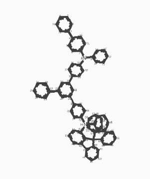 c1ccc(-c2ccc(N(c3ccccc3)c3ccc(-c4cc(-c5ccccc5)cc(-c5ccc(N(c6ccccc6)c6cccc7c6C(c6ccccc6)(c6ccccc6)c6ccccc6-7)cc5)c4)cc3)cc2)cc1